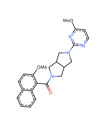 COc1ccnc(N2CC3CN(C(=O)c4c(OC)ccc5ccccc45)CC3C2)n1